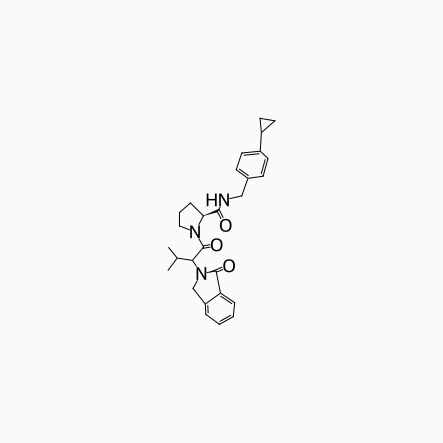 CC(C)C(C(=O)N1CCC[C@H]1C(=O)NCc1ccc(C2CC2)cc1)N1Cc2ccccc2C1=O